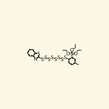 CCO[Si](OCC)(OCC)c1cc(C)ccc1SSSSSSSSc1nc2ccccc2s1